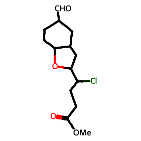 COC(=O)CCC(Cl)C1CC2CC(C=O)CCC2O1